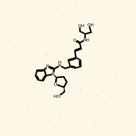 O=C(/C=C/c1cccc(CNc2nc3ccccc3n2[C@H]2CC[C@@H](CO)O2)c1)NC(CO)CO